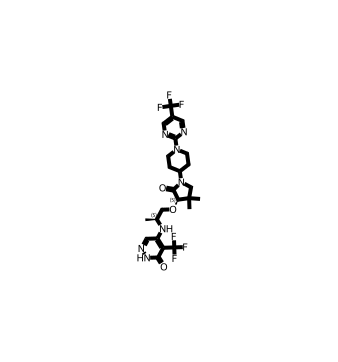 C[C@@H](CO[C@@H]1C(=O)N(C2CCN(c3ncc(C(F)(F)F)cn3)CC2)CC1(C)C)Nc1cn[nH]c(=O)c1C(F)(F)F